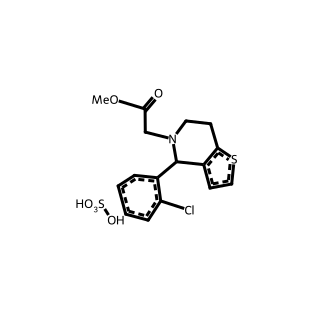 COC(=O)CN1CCc2sccc2C1c1ccccc1Cl.O=S(=O)(O)O